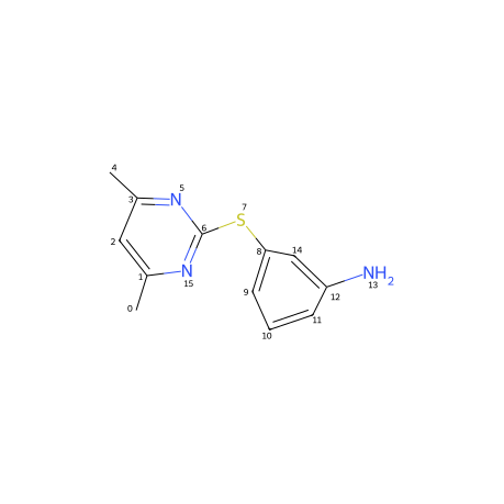 Cc1cc(C)nc(Sc2cccc(N)c2)n1